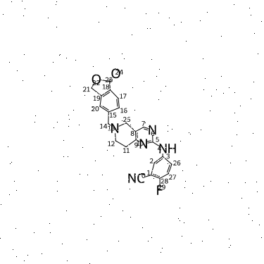 N#Cc1cc(Nc2ncc3c(n2)CCN(Cc2ccc4c(c2)COC4=O)C3)ccc1F